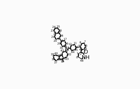 C1=Cc2c(oc3cccc(-c4ccc(N(c5ccc(-c6ccc7ccccc7c6)cc5)c5ccc6sc7ccccc7c6c5)cc4)c23)NC1